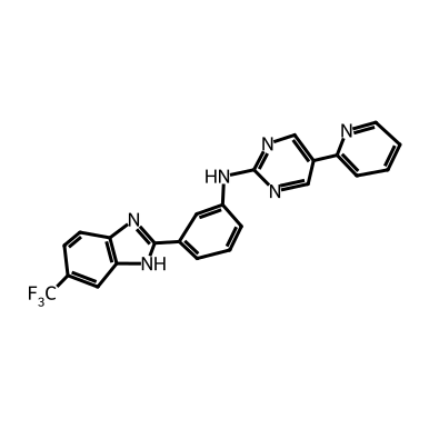 FC(F)(F)c1ccc2nc(-c3cccc(Nc4ncc(-c5ccccn5)cn4)c3)[nH]c2c1